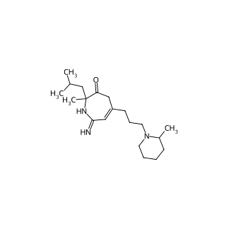 CC(C)CC1(C)NC(=N)C=C(CCCN2CCCCC2C)CC1=O